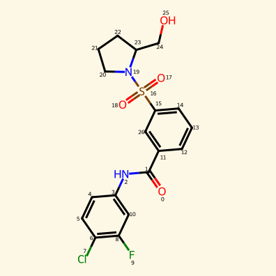 O=C(Nc1ccc(Cl)c(F)c1)c1cccc(S(=O)(=O)N2CCCC2CO)c1